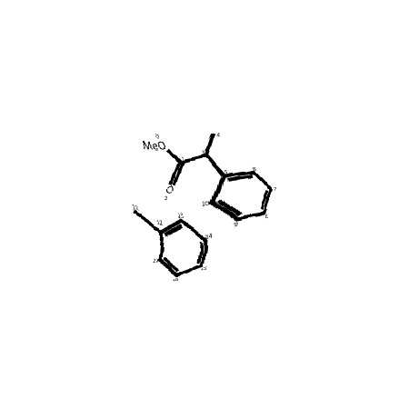 COC(=O)C(C)c1ccccc1.Cc1ccccc1